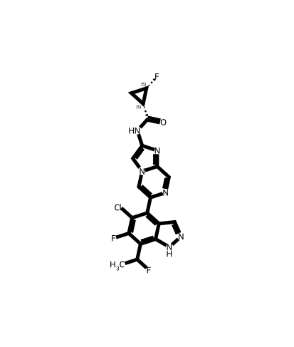 CC(F)c1c(F)c(Cl)c(-c2cn3cc(NC(=O)[C@@H]4C[C@@H]4F)nc3cn2)c2cn[nH]c12